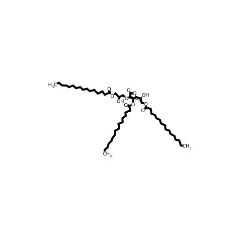 CCCCCCCCCCCCCCCC(=O)OCC(O)COC1=C(OC(=O)CCCCCCCCCCCCCCC)[C@@H]([C@@H](O)COC(=O)CCCCCCCCCCCCCCC)OC1=O